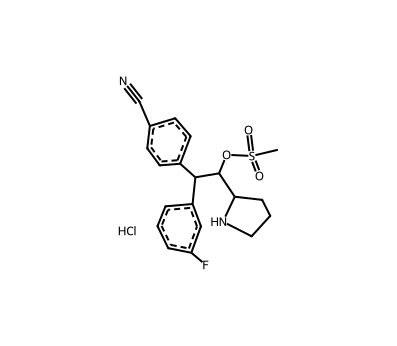 CS(=O)(=O)OC(C1CCCN1)C(c1ccc(C#N)cc1)c1cccc(F)c1.Cl